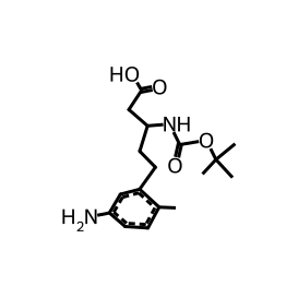 Cc1ccc(N)cc1CCC(CC(=O)O)NC(=O)OC(C)(C)C